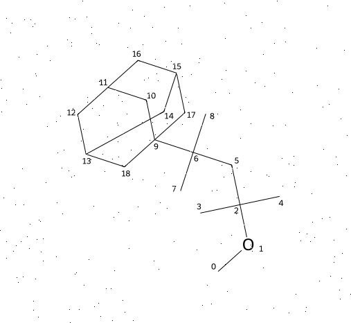 COC(C)(C)CC(C)(C)C12CC3CC(CC(C3)C1)C2